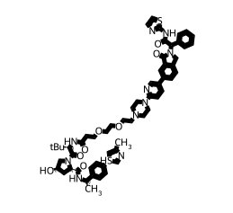 CC1=C[SH](c2ccc([C@H](C)NC(=O)[C@@H]3C[C@@H](O)CN3C(=O)[C@@H](NC(=O)CCOCCOCCN3CCN(c4ccc(-c5ccc6c(c5)C(=O)N(C(C(=O)Nc5nccs5)c5ccccc5)C6)cn4)CC3)C(C)(C)C)cc2)C=N1